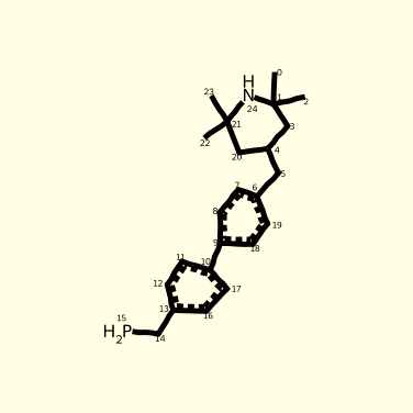 CC1(C)CC(Cc2ccc(-c3ccc(CP)cc3)cc2)CC(C)(C)N1